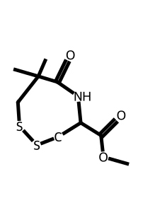 COC(=O)C1CSSCC(C)(C)C(=O)N1